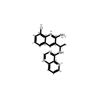 CC(Nc1ncnc2cccnc12)c1cc2cccc(Cl)c2nc1N